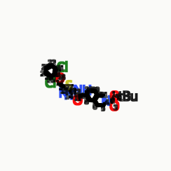 CC(C)(C)OC(=O)N1CCc2cc(C(=O)Nc3nnc(COc4c(Cl)cccc4Cl)s3)ccc2C1